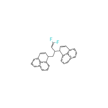 FC(F)=CC(CC1C=Cc2cccc3cccc1c23)C1C=Cc2cccc3cccc1c23